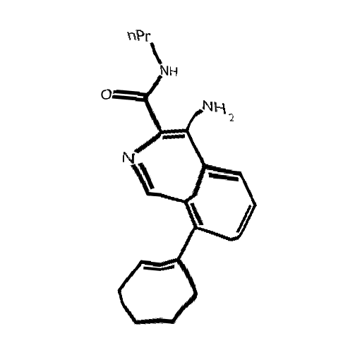 CCCNC(=O)c1ncc2c(C3=CCCCC3)cccc2c1N